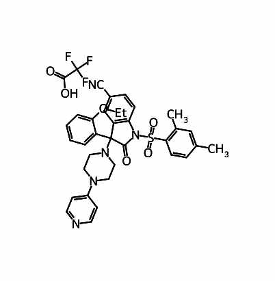 CCOc1ccccc1C1(N2CCN(c3ccncc3)CC2)C(=O)N(S(=O)(=O)c2ccc(C)cc2C)c2ccc(C#N)cc21.O=C(O)C(F)(F)F